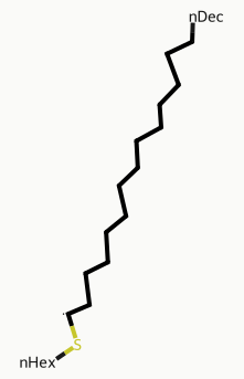 CCCCCCCCCCCCCCCCCCCCCCC[CH]SCCCCCC